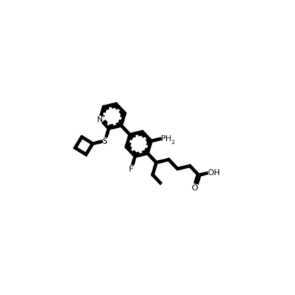 CCC(CCCC(=O)O)c1c(F)cc(-c2cccnc2SC2CCC2)cc1P